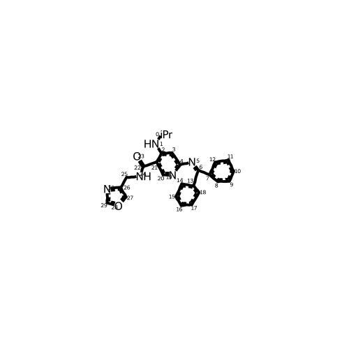 CC(C)Nc1cc(N=C(c2ccccc2)c2ccccc2)ncc1C(=O)NCc1cocn1